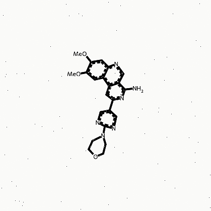 COc1cc2ncc3c(N)nc(-c4cnc(N5CCOCC5)nc4)cc3c2cc1OC